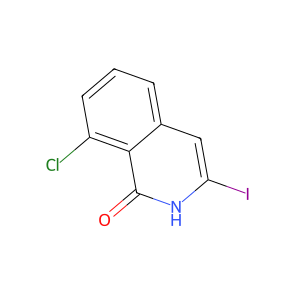 O=c1[nH]c(I)cc2cccc(Cl)c12